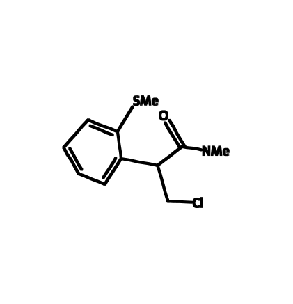 CNC(=O)C(CCl)c1ccccc1SC